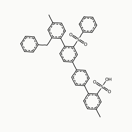 Cc1ccc(-c2ccc(-c3ccc(-c4ccc(C)cc4S(=O)(=O)O)cc3)cc2S(=O)(=O)c2ccccc2)c(Cc2ccccc2)c1